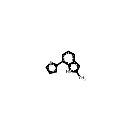 Cc1cc2cccc(-c3cccs3)c2[nH]1